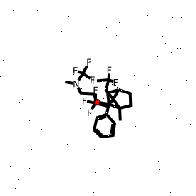 CN(CCOC1(c2ccccc2)CC2CCC1(C)C2(CC(F)(F)F)CC(F)(F)F)C(F)(F)F